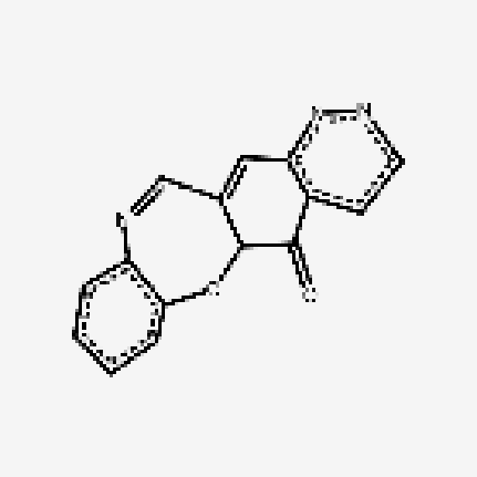 O=C1c2ccnnc2C=C2C=Nc3ccccc3OC12